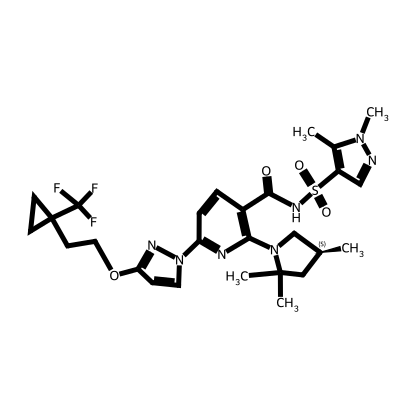 Cc1c(S(=O)(=O)NC(=O)c2ccc(-n3ccc(OCCC4(C(F)(F)F)CC4)n3)nc2N2C[C@@H](C)CC2(C)C)cnn1C